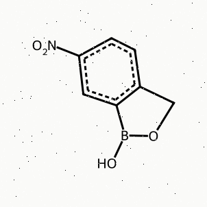 O=[N+]([O-])c1ccc2c(c1)B(O)OC2